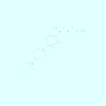 Cc1nc(N2CCC(N3C[C@@H](C)O[C@@H](C)C3)CC2)ccc1C1(N)CC2(CC(N)C2)C1